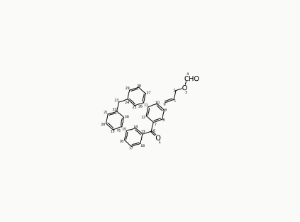 C=CCOC=O.O=C(c1ccccc1)c1ccccc1.c1ccc(Cc2ccccc2)cc1